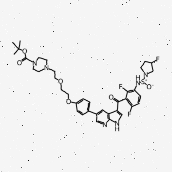 CC(C)(C)OC(=O)N1CCN(CCOCCOc2ccc(-c3cnc4[nH]cc(C(=O)c5c(F)ccc(N[S+]([O-])N6CCC(F)C6)c5F)c4c3)cc2)CC1